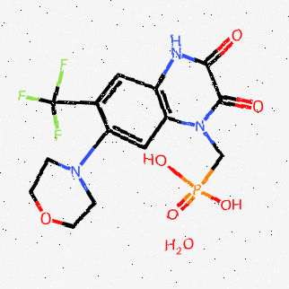 O.O=c1[nH]c2cc(C(F)(F)F)c(N3CCOCC3)cc2n(CP(=O)(O)O)c1=O